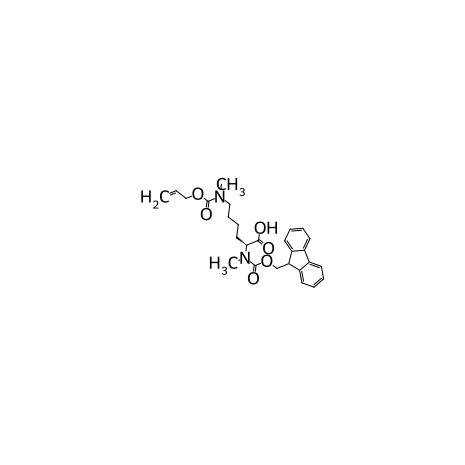 C=CCOC(=O)N(C)CCCC[C@@H](C(=O)O)N(C)C(=O)OCC1c2ccccc2-c2ccccc21